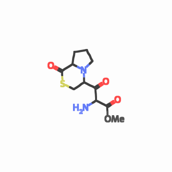 COC(=O)C(N)C(=O)C1CSC(=O)C2CCCN21